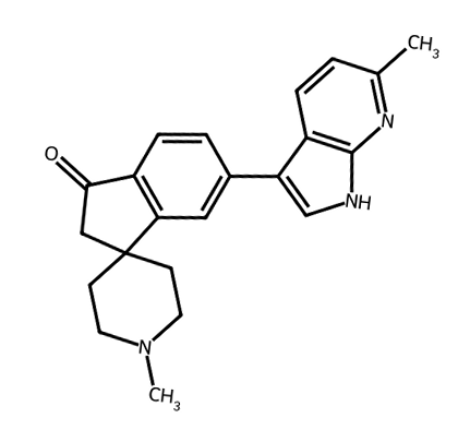 Cc1ccc2c(-c3ccc4c(c3)C3(CCN(C)CC3)CC4=O)c[nH]c2n1